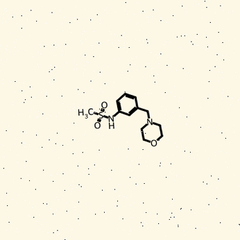 CS(=O)(=O)Nc1c[c]cc(CN2CCOCC2)c1